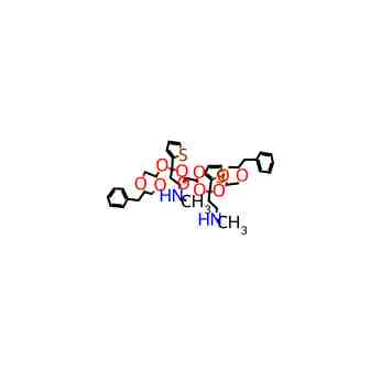 CNCCC(OC(=O)C(=O)OC(CCNC)(OC1COC(Cc2ccccc2)CO1)c1cccs1)(OC1COC(Cc2ccccc2)CO1)c1cccs1